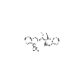 Cc1nn2c(ncc3ccccc32)c1OCc1ccccc1OC(F)(F)F